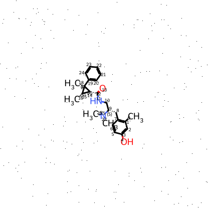 Cc1cc(O)ccc1C[C@@H](CNC(=O)[C@@H]1[C@H](C)[C@@]1(C)c1ccccc1)N(C)C